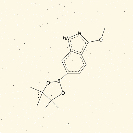 COc1n[nH]c2cc(B3OC(C)(C)C(C)(C)O3)ccc12